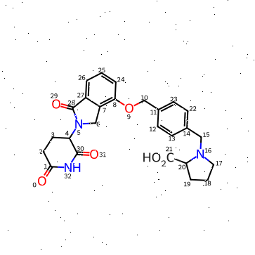 O=C1CCC(N2Cc3c(OCc4ccc(CN5CCCC5C(=O)O)cc4)cccc3C2=O)C(=O)N1